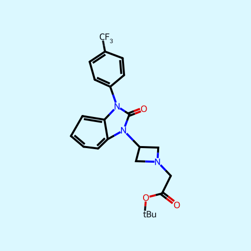 CC(C)(C)OC(=O)CN1CC(n2c(=O)n(-c3ccc(C(F)(F)F)cc3)c3ccccc32)C1